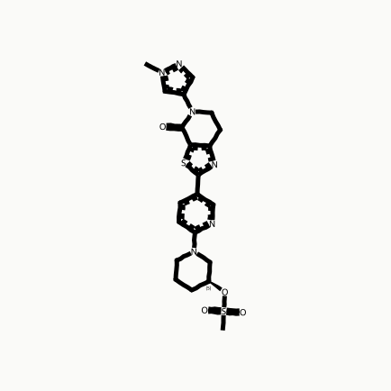 Cn1cc(N2CCc3nc(-c4ccc(N5CCC[C@H](OS(C)(=O)=O)C5)nc4)sc3C2=O)cn1